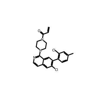 C=CC(=O)N1CCN(c2nccc3cc(Cl)c(-c4ccc(C)cc4Cl)cc23)CC1